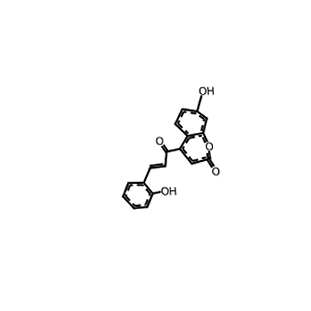 O=C(/C=C/c1ccccc1O)c1cc(=O)oc2cc(O)ccc12